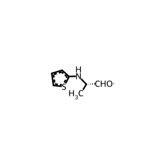 C[C@@H]([C]=O)Nc1cccs1